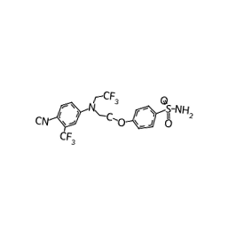 [C-]#[N+]c1ccc(N(CCOc2ccc(S(N)(=O)=O)cc2)CC(F)(F)F)cc1C(F)(F)F